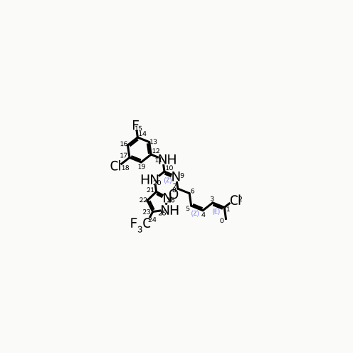 C/C(Cl)=C\C=C/CC(=O)/N=C(/Nc1cc(F)cc(Cl)c1)Nc1cc(C(F)(F)F)[nH]n1